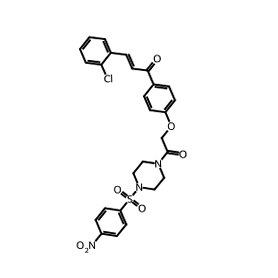 O=C(C=Cc1ccccc1Cl)c1ccc(OCC(=O)N2CCN(S(=O)(=O)c3ccc([N+](=O)[O-])cc3)CC2)cc1